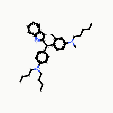 CCCCCN(C)c1ccc(C(c2ccc(N(CCCC)CCCC)cc2)c2cc3ccccc3[nH]2)c(C)c1